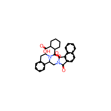 O=C(O)C1CCCCC1C(=O)N1CCc2ccccc2C1CN1C(=O)c2ccc3ccccc3c2C1=O